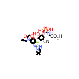 C#CCN1C(=O)COc2cc(F)c(/N=c3\snc4n3CC(C)(C)C4)cc21.N#Cc1cc(Br)c(O)c(Br)c1.O=C(O)CNCP(=O)(O)O